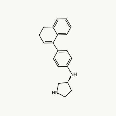 C1=C(c2ccc(N[C@H]3CCNC3)cc2)c2ccccc2CC1